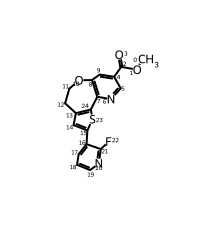 COC(=O)c1cnc2c(c1)OCCc1cc(-c3cccnc3F)sc1-2